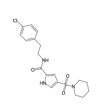 O=C(NCCc1ccc(Cl)cc1)c1cc(S(=O)(=O)N2CCCCC2)c[nH]1